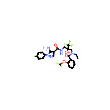 CCN(CC(O)(CNC(=O)c1cnn(-c2ccc(F)cc2)c1N)C(F)(F)F)C(=O)c1ccccc1OC(F)F